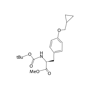 COC(=O)[C@H](Cc1ccc(OCC2CC2)cc1)NC(=O)OC(C)(C)C